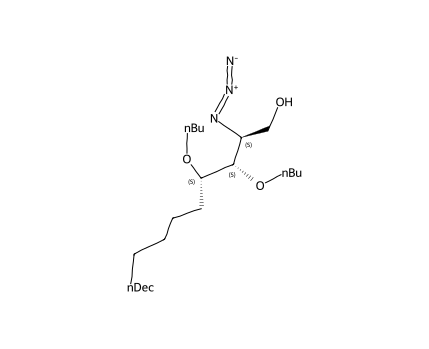 CCCCCCCCCCCCCC[C@H](OCCCC)[C@@H](OCCCC)[C@H](CO)N=[N+]=[N-]